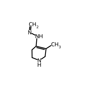 C=NNC1=C(C)CNCC1